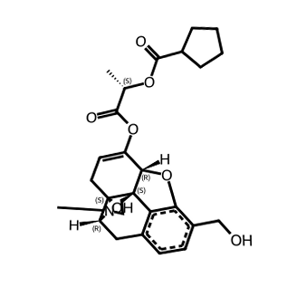 C[C@H](OC(=O)C1CCCC1)C(=O)OC1=CC[C@@]2(O)[C@H]3Cc4ccc(CO)c5c4[C@@]2(CCN3C)[C@H]1O5